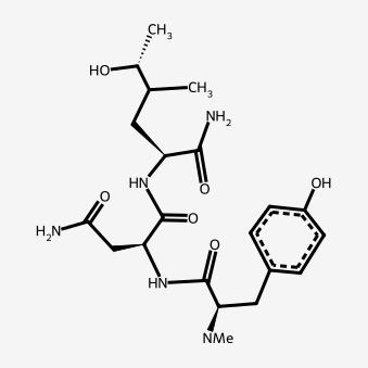 CN[C@H](Cc1ccc(O)cc1)C(=O)N[C@@H](CC(N)=O)C(=O)N[C@@H](CC(C)[C@@H](C)O)C(N)=O